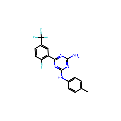 Cc1ccc(Nc2nc(N)nc(-c3cc(C(F)(F)F)ccc3F)n2)cc1